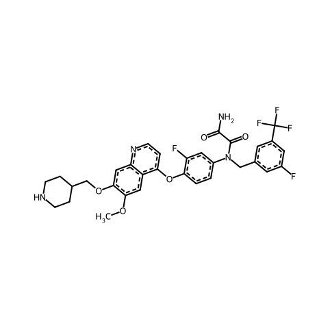 COc1cc2c(Oc3ccc(N(Cc4cc(F)cc(C(F)(F)F)c4)C(=O)C(N)=O)cc3F)ccnc2cc1OCC1CCNCC1